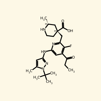 CCC(=O)c1cc(Nc2cc(C)n(C(C)(C)C)n2)nc(C[C@@]2(C(=O)O)CCN[C@H](C)C2)c1F